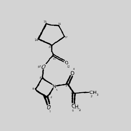 C=C(C)C(=O)N1C(=O)CC1OC(=O)C1CCCC1